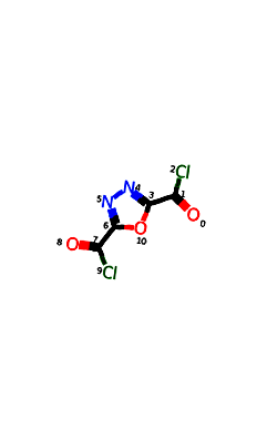 O=C(Cl)c1nnc(C(=O)Cl)o1